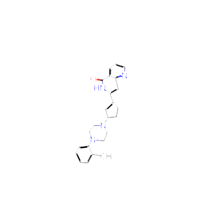 Cc1ccccc1N1CCN([C@H]2C=C(c3cc4ncccc4c(=O)[nH]3)CC2)CC1